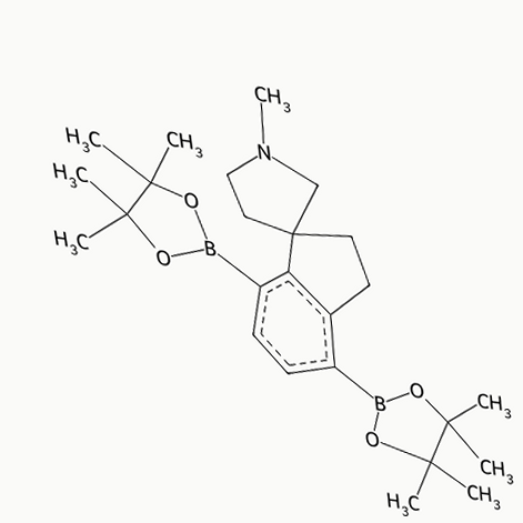 CN1CCC2(CCc3c(B4OC(C)(C)C(C)(C)O4)ccc(B4OC(C)(C)C(C)(C)O4)c32)C1